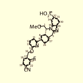 COCCn1c(Cc2ccc(-c3cccc(OCc4ccc(C#N)cc4F)n3)cc2)nc2ccc(C(=O)O)cc21